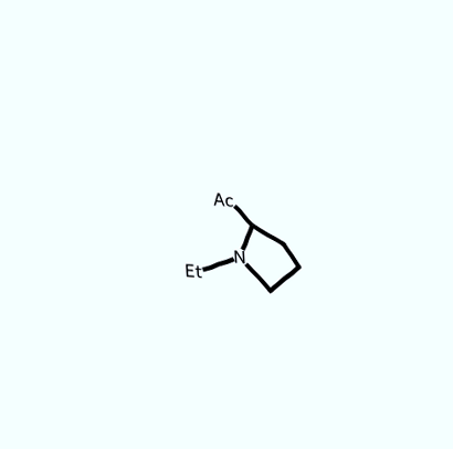 CCN1CCCC1C(C)=O